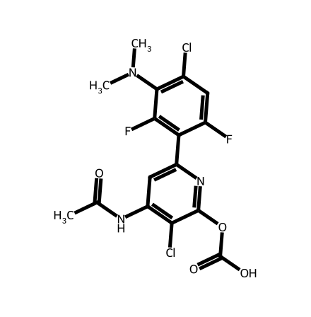 CC(=O)Nc1cc(-c2c(F)cc(Cl)c(N(C)C)c2F)nc(OC(=O)O)c1Cl